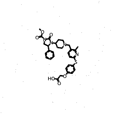 COC(=O)N1CC(c2ccccc2)N(C2CCN(Cc3ccc(Sc4ccc(OCC(=O)O)cc4)nc3C)CC2)C1=O